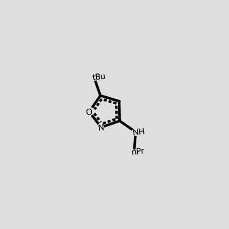 CCCNc1cc(C(C)(C)C)on1